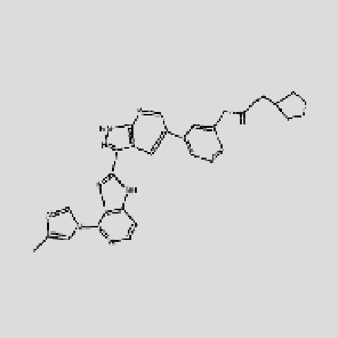 Cc1cn(-c2nccc3[nH]c(-c4n[nH]c5ncc(-c6cncc(CNCC7CCCC7)c6)cc45)nc23)cn1